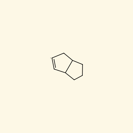 [C]1=CC2CCCC2C1